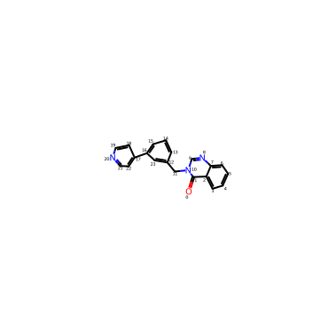 O=c1c2ccccc2ncn1Cc1cccc(-c2ccncc2)c1